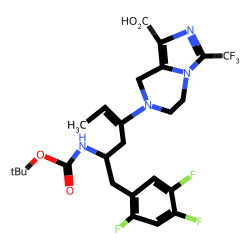 CC=C(CC(Cc1cc(F)c(F)cc1F)NC(=O)OC(C)(C)C)N1CCn2c(C(F)(F)F)nc(C(=O)O)c2C1